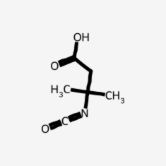 CC(C)(CC(=O)O)N=C=O